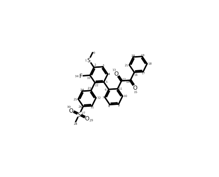 CSc1ccc(-c2ccccc2C(=O)C(=O)c2ccccc2)c(-c2ccc(S(C)(=O)=O)cc2)c1F